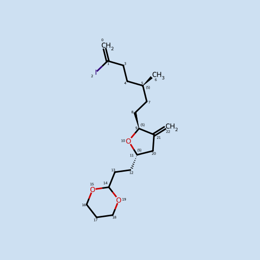 C=C(I)CC[C@@H](C)CC[C@@H]1O[C@@H](CCC2OCCCO2)CC1=C